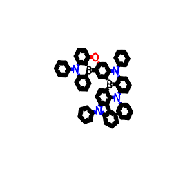 c1ccc(N2c3ccccc3B3c4cc5c(cc4Oc4cccc2c43)N(c2ccccc2)c2cccc3c2B5c2ccc4c(c2N3c2ccccc2)c2ccccc2n4-c2ccccc2)cc1